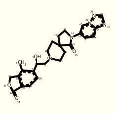 Cc1c([C@@H](O)CN2CCC3(CC2)CCN(c2ccc4ncnn4c2)C3=O)ccc2c1COC2=O